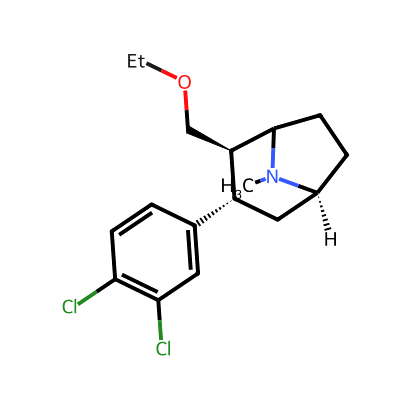 CCOC[C@H]1C2CC[C@@H](C[C@@H]1c1ccc(Cl)c(Cl)c1)N2C